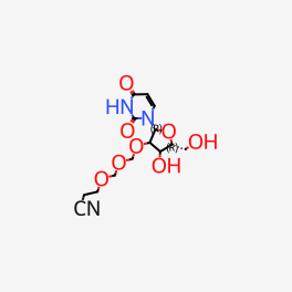 N#CCCOCOCOC1C(O)[C@@H](CO)O[C@H]1n1ccc(=O)[nH]c1=O